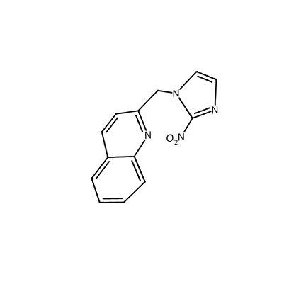 O=[N+]([O-])c1nccn1Cc1ccc2ccccc2n1